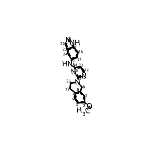 COc1ccc2c(c1)CN(c1nccc(Nc3ccc4[nH]ncc4c3)n1)CC2